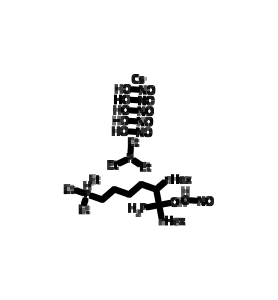 CCCCCCC(CCCC[PH](CC)(CC)CC)C(O)(P)CCCCCC.CCP(CC)CC.O=NO.O=NO.O=NO.O=NO.O=NO.O=NO.[Cs]